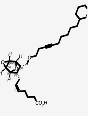 O=C(O)CCC/C=C\C[C@H]1[C@@H](COCCC#CCCCCCC2CCCCC2)[C@@H]2O[C@H]1[C@@H]1O[C@@H]12